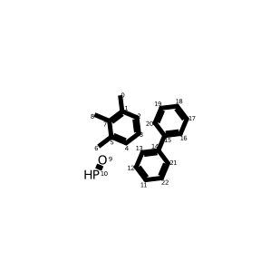 Cc1cccc(C)c1C.O=P.c1ccc(-c2ccccc2)cc1